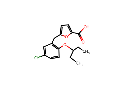 CCC(CC)Oc1ccc(Cl)cc1Cc1ccc(C(=O)O)o1